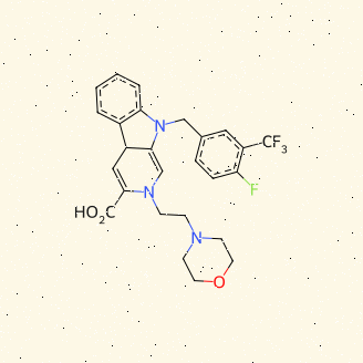 O=C(O)C1=CC2C(=CN1CCN1CCOCC1)N(Cc1ccc(F)c(C(F)(F)F)c1)c1ccccc12